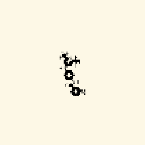 COc1cccc(C(=O)NC2CCC(Nc3cc(C(F)(F)F)nc(C(F)(F)F)c3)CC2)c1